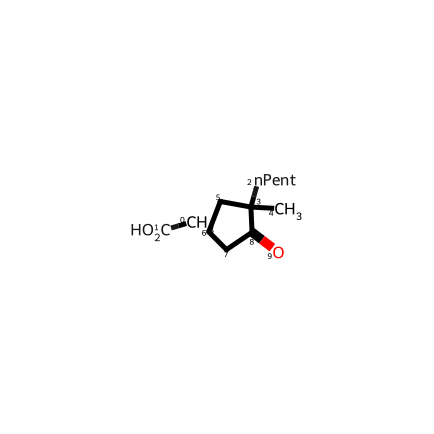 CC(=O)O.CCCCCC1(C)CCCC1=O